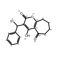 CCC(c1ccccc1)c1c(O)c2c(oc1=O)CCCCC2=O